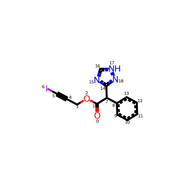 O=C(OCC#CI)C(c1ccccc1)c1nc[nH]n1